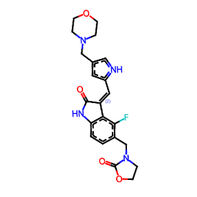 O=C1Nc2ccc(CN3CCOC3=O)c(F)c2/C1=C/c1cc(CN2CCOCC2)c[nH]1